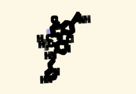 C/C(=C/C=O)N(c1cncc(NCCc2c[nH]cn2)c1C)c1c(Cl)cc(C2CN2)cc1Cl